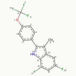 Cc1c(-c2ccc(OC(F)(F)F)cc2)[nH]c2c(F)cc(F)cc12